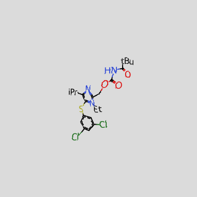 CCn1c(COC(=O)NC(=O)C(C)(C)C)nc(C(C)C)c1Sc1cc(Cl)cc(Cl)c1